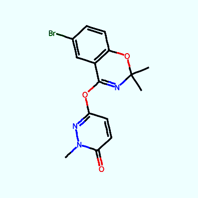 Cn1nc(OC2=NC(C)(C)Oc3ccc(Br)cc32)ccc1=O